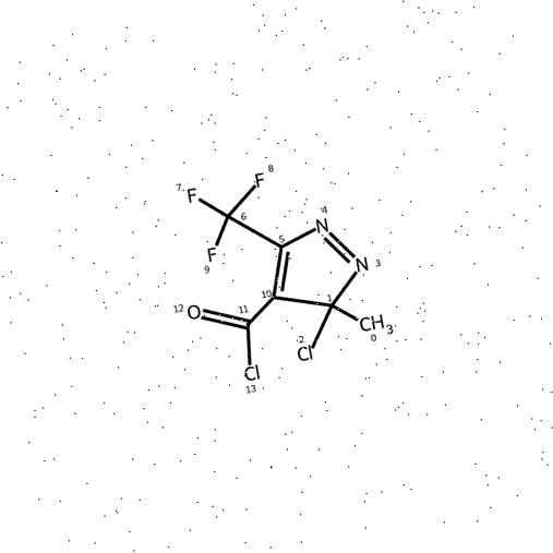 CC1(Cl)N=NC(C(F)(F)F)=C1C(=O)Cl